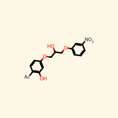 CC(=O)c1ccc(OCC(O)COc2cccc([N+](=O)[O-])c2)cc1O